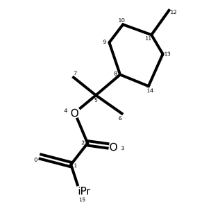 C=C(C(=O)OC(C)(C)C1CCC(C)CC1)C(C)C